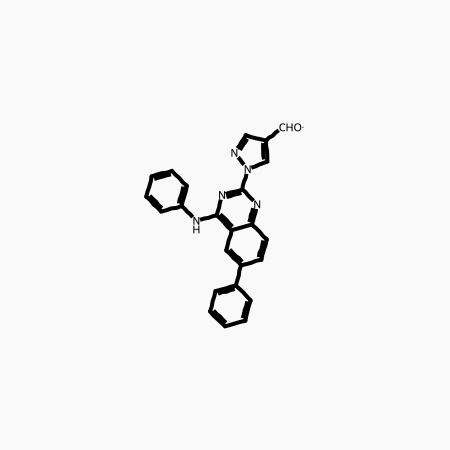 O=[C]c1cnn(-c2nc(Nc3ccccc3)c3cc(-c4ccccc4)ccc3n2)c1